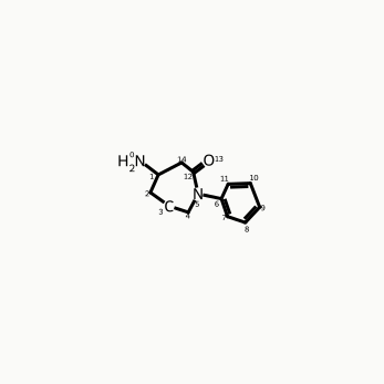 NC1CCCN(c2ccccc2)C(=O)C1